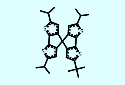 CC(C)c1cc2c(s1)-c1sc(C(C)C)cc1C21c2cc(C(C)C)sc2-c2sc(C(C)(C)C)cc21